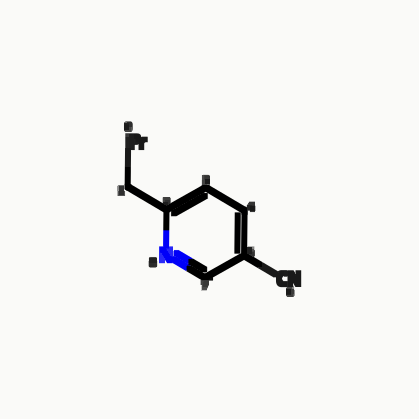 CC(C)Cc1ccc(C#N)[c]n1